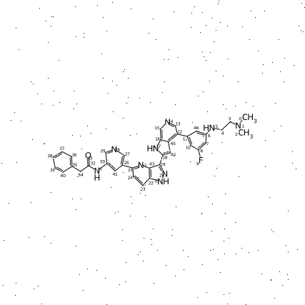 CN(C)CCNc1cc(F)cc(-c2cncc3[nH]c(-c4n[nH]c5ccc(-c6cncc(NC(=O)Cc7ccccc7)c6)nc45)cc23)c1